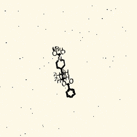 [2H]C([2H])(OC(=O)c1ccccc1)C([2H])([2H])C1CCN(C(=O)OC(C)(C)C)CC1